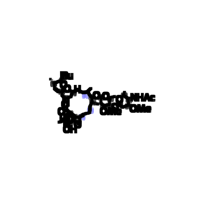 CCC(C)[C@H]1O[C@]2(C=C[C@@H]1C)C[C@@H]1C[C@@H](C/C=C(\C)[C@@H](O[C@H]3C[C@H](OC)[C@@H](O[C@@H]4C[C@H](OC)[C@@H](NC(C)=O)[C@H](C)O4)[C@H](C)O3)[C@@H](C)/C=C/C=C3\CO[C@@H]4[C@H](O)C(C)=C[C@@H](C(=O)O1)[C@]34O)O2